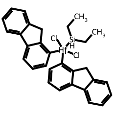 CC[SiH](CC)[Hf]([Cl])([Cl])([c]1cccc2c1Cc1ccccc1-2)[c]1cccc2c1Cc1ccccc1-2